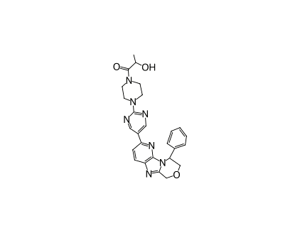 CC(O)C(=O)N1CCN(c2ncc(-c3ccc4nc5n(c4n3)C(c3ccccc3)COC5)cn2)CC1